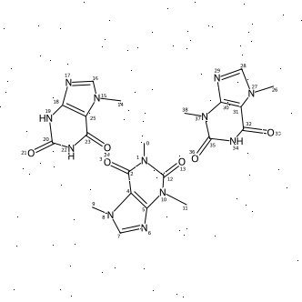 Cn1c(=O)c2c(ncn2C)n(C)c1=O.Cn1cnc2[nH]c(=O)[nH]c(=O)c21.Cn1cnc2c1c(=O)[nH]c(=O)n2C